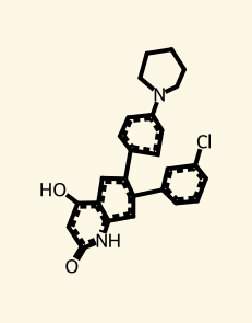 O=c1cc(O)c2cc(-c3ccc(N4CCCCC4)cc3)c(-c3cccc(Cl)c3)cc2[nH]1